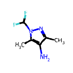 Cc1nn(C(F)F)c(C)c1N